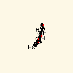 C=C(C)[C@@H]1CC[C@]2(C(=O)NCc3cccc(C(=O)NCCNC(=O)OCc4ccccc4)c3)CC[C@]3(C)C(CCC4[C@@]5(C)CC[C@H](O)C(C)(C)C5CC[C@]43C)C12